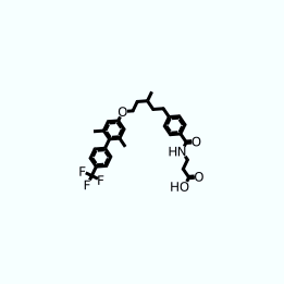 Cc1cc(OCCC(C)CCc2ccc(C(=O)NCCC(=O)O)cc2)cc(C)c1-c1ccc(C(F)(F)F)cc1